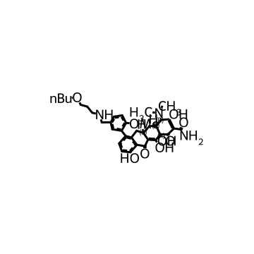 CCCCOCCCNCc1ccc(OC)c(-c2ccc(O)c3c2C[C@@H]2C[C@@H]4[C@@H](N(C)C)C(O)=C(C(N)=O)C(=O)[C@]4(O)C(O)=C2C3=O)c1